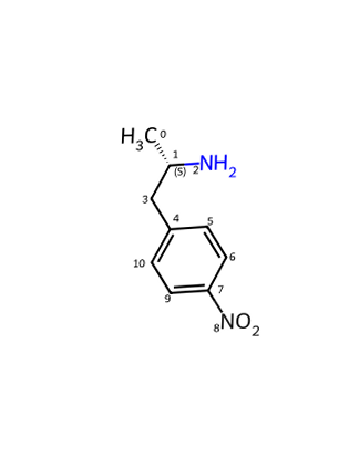 C[C@H](N)Cc1ccc([N+](=O)[O-])cc1